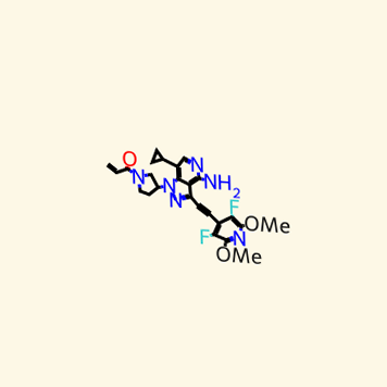 C=CC(=O)N1CCC(n2nc(C#Cc3c(F)c(OC)nc(OC)c3F)c3c(N)ncc(C4CC4)c32)C1